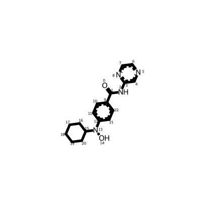 O=C(Nc1cnccn1)c1ccc(N(O)C2CCCCC2)cc1